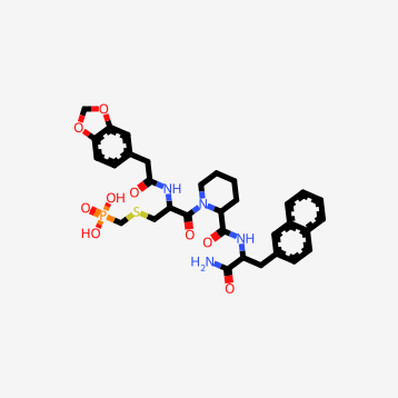 NC(=O)C(Cc1ccc2ccccc2c1)NC(=O)C1CCCCN1C(=O)C(CSCP(=O)(O)O)NC(=O)Cc1ccc2c(c1)OCO2